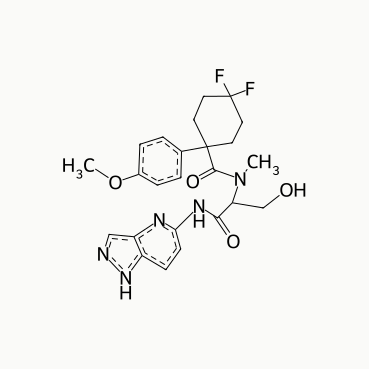 COc1ccc(C2(C(=O)N(C)C(CO)C(=O)Nc3ccc4[nH]ncc4n3)CCC(F)(F)CC2)cc1